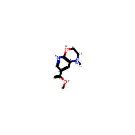 C=C(OC)c1cnc2c(c1)N(C)CCO2